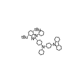 CC(C)(C)c1ccc(C(C)(C)C)c2c1nc(-c1ccc(N(c3ccccc3)c3ccc(-n4c5ccccc5c5ccccc54)cc3)cc1)n2-c1ccccc1